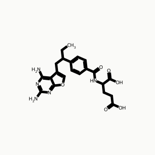 CCC(Cc1coc2nc(N)nc(N)c12)c1ccc(C(=O)NC(CCC(=O)O)C(=O)O)cc1